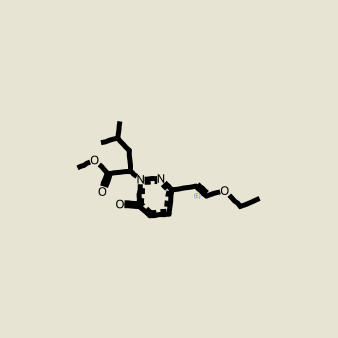 CCO/C=C/c1ccc(=O)n(C(CC(C)C)C(=O)OC)n1